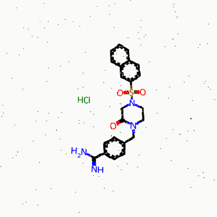 Cl.N=C(N)c1ccc(CN2CCN(S(=O)(=O)c3ccc4ccccc4c3)CC2=O)cc1